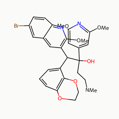 CNCCC(O)(c1cc(OC)nc(OC)c1)C(c1cc2cc(Br)ccc2nc1OC)c1cccc2c1OCCO2